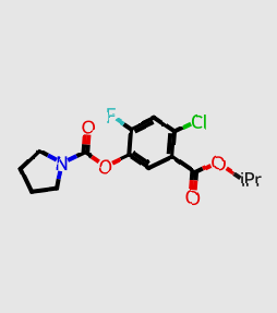 CC(C)OC(=O)c1cc(OC(=O)N2CCCC2)c(F)cc1Cl